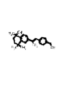 CC(=Cc1ccc(CO)cc1)c1ccc2c(c1)C(C)(C)CCC2(C)C